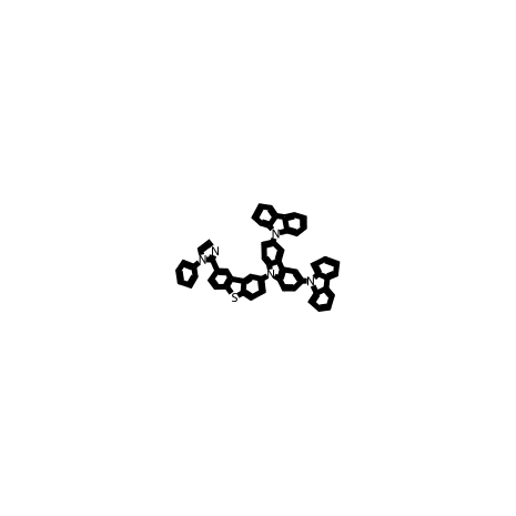 c1ccc(-n2ccnc2-c2ccc3sc4ccc(-n5c6ccc(-n7c8ccccc8c8ccccc87)cc6c6cc(-n7c8ccccc8c8ccccc87)ccc65)cc4c3c2)cc1